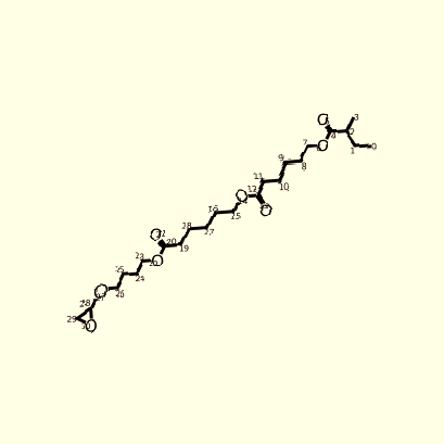 CCC(C)C(=O)OCCCCCC(=O)OCCCCCC(=O)OCCCCOC1CO1